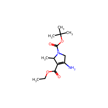 CCOC(=O)C1=C(N)CN(C(=O)OC(C)(C)C)C1C